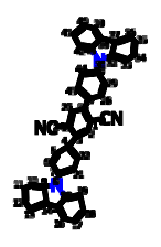 N#Cc1cc(-c2ccc(-n3c4ccccc4c4ccccc43)cc2)c(C#N)cc1-c1ccc(-n2c3ccccc3c3ccccc32)cc1